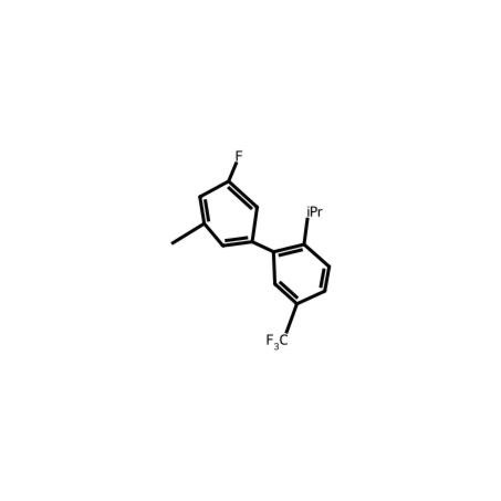 Cc1cc(F)cc(-c2cc(C(F)(F)F)ccc2C(C)C)c1